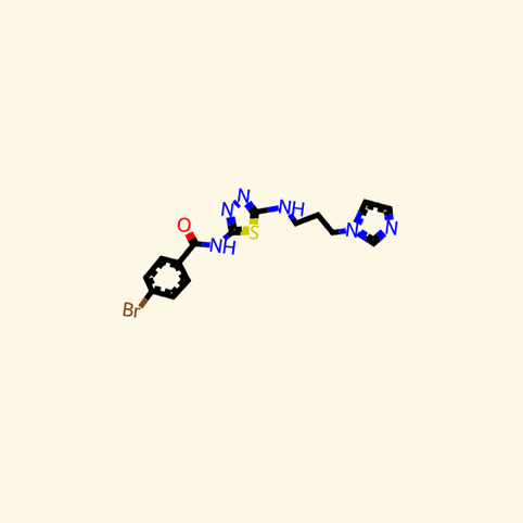 O=C(Nc1nnc(NCCCn2ccnc2)s1)c1ccc(Br)cc1